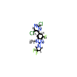 CC(C)n1c(N2CCC(F)(F)C2)nc2c(F)cc(-c3nc(Cl)ncc3Cl)cc21